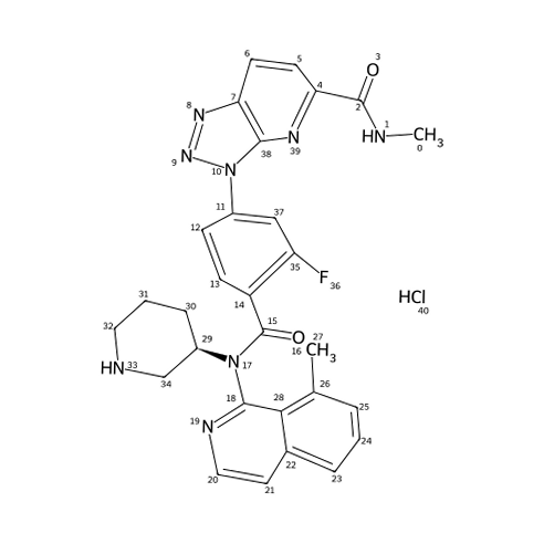 CNC(=O)c1ccc2nnn(-c3ccc(C(=O)N(c4nccc5cccc(C)c45)[C@@H]4CCCNC4)c(F)c3)c2n1.Cl